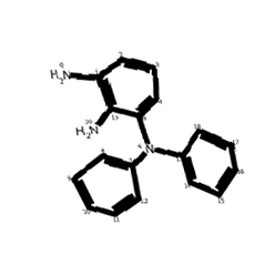 Nc1cccc(N(c2ccccc2)c2ccccc2)c1N